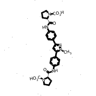 Cn1nc(-c2ccc(NC(=O)[C@@H]3CCCN3C(=O)O)cc2)cc1-c1ccc(NC(=O)[C@@H]2CCCN2C(=O)O)cc1